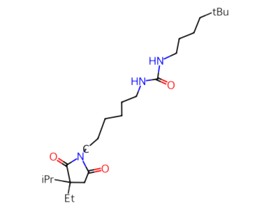 CCC1(C(C)C)CC(=O)N(CCCCCCNC(=O)NCCCCC(C)(C)C)C1=O